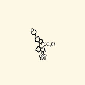 CCOC(=O)c1cc2cc(C3CCOCC3)ccc2n1-c1cccc2c1nnn2C(=O)OC(C)(C)C